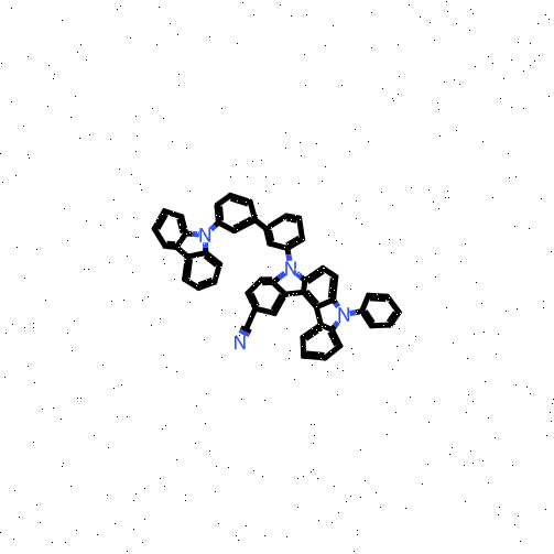 N#Cc1ccc2c(c1)c1c3c4ccccc4n(-c4ccccc4)c3ccc1n2-c1cccc(-c2cccc(-n3c4ccccc4c4ccccc43)c2)c1